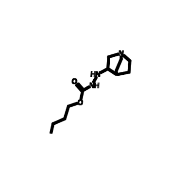 CCCCOC(=O)NNC1CN2CCC1CC2